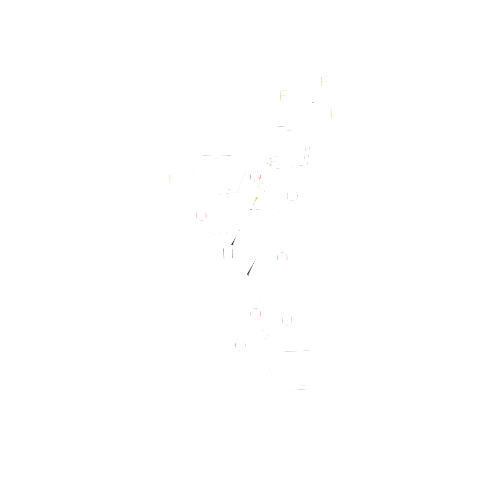 Cc1ccc(S(=O)(=O)OCC[C@@H]2OCC[C@@]3(S(=O)(=O)c4ccc(C(F)(F)F)cc4)c4c(F)ccc(F)c4OC[C@@H]23)cc1